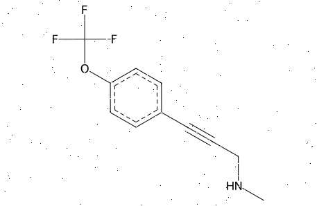 CNCC#Cc1ccc(OC(F)(F)F)cc1